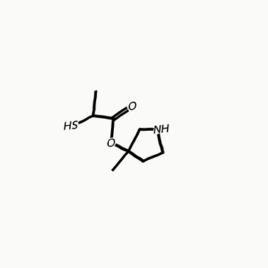 CC(S)C(=O)OC1(C)CCNC1